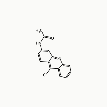 CC(=O)Nc1ccc2c(Cl)c3ccccc3nc2c1